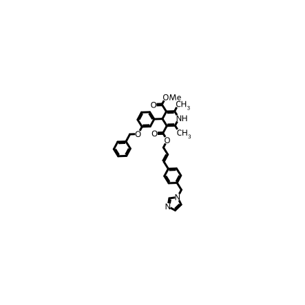 COC(=O)C1=C(C)NC(C)=C(C(=O)OCC=Cc2ccc(Cn3ccnc3)cc2)C1c1cccc(OCc2ccccc2)c1